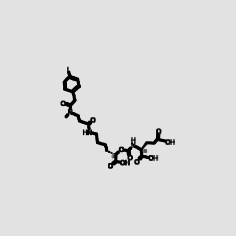 CN(CCC(=O)NCCCC[C@H](OC(=O)N[C@@H](CCC(=O)O)C(=O)O)C(=O)O)C(=O)Cc1ccc(I)cc1